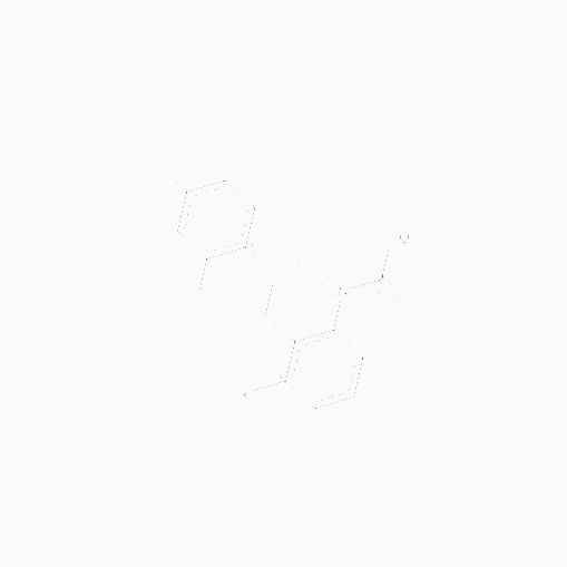 CCc1ccc(OCc2c(Br)cccc2N(O)C(=O)OC)c(Br)c1